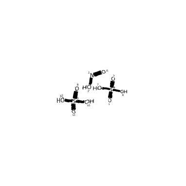 O=NO.O=S(=O)(O)O.O=S(=O)(O)O